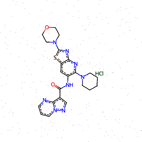 Cl.O=C(Nc1cc2sc(N3CCOCC3)nc2nc1N1CCCCC1)c1cnn2cccnc12